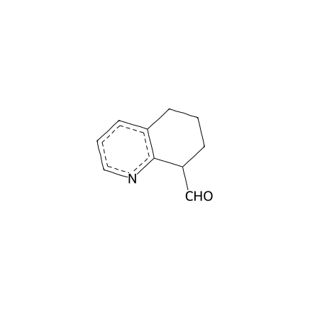 O=CC1CCCc2cccnc21